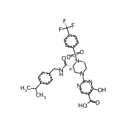 CC(C)c1ccc(CNC(=O)[C@H]2CN(c3ncc(C(=O)O)c(O)n3)CCN2S(=O)(=O)c2ccc(C(F)(F)F)cc2)cc1